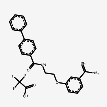 N=C(N)c1cccc(OCCNC(=O)c2ccc(-c3ccccc3)cc2)c1.O=C(O)C(F)(F)F